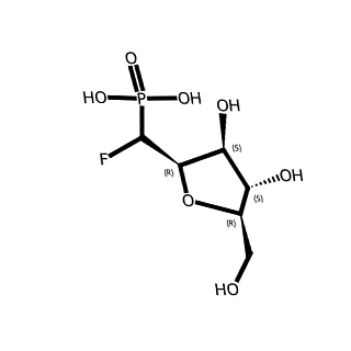 O=P(O)(O)C(F)[C@@H]1O[C@H](CO)[C@@H](O)[C@@H]1O